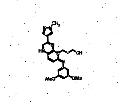 COc1cc(/N=c2\ccc3c(n2CCCO)N=C(c2cnn(C)c2)CN3)cc(OC)c1